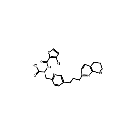 O=C(N[C@@H](Cc1ccc(CCCc2ccc3c(n2)NCCC3)cn1)C(=O)O)c1sccc1Cl